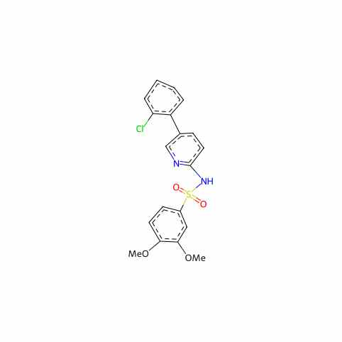 COc1ccc(S(=O)(=O)Nc2ccc(-c3ccccc3Cl)cn2)cc1OC